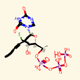 CC#CC1(F)[C@@H](O)[C@@H]([C@H](C)OP(=O)(O)OP(=O)(O)OP(=O)(O)O)O[C@H]1n1cnc(=O)[nH]c1=O